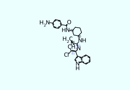 C=N/C(=N\C(=C(/C)Cl)c1c[nH]c2ccccc12)N[C@@H]1CCC[C@H](NC(=O)c2ccc(N)cc2)C1